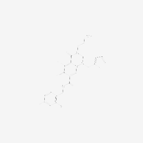 COCCN1CN(Cc2ccco2)n2cc(C(=O)NCc3ccc(F)cc3F)c(=O)c(O)c2C1=O